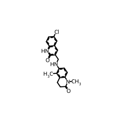 Cc1c(NCc2cc3cc(Cl)ccc3[nH]c2=O)ccc2c1CCC(=O)N2C